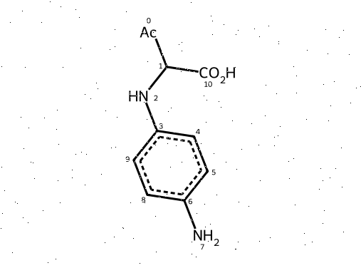 CC(=O)C(Nc1ccc(N)cc1)C(=O)O